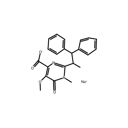 COc1c(C(=O)[O-])nc(C(C)C(c2ccccc2)c2ccccc2)n(C)c1=O.[Na+]